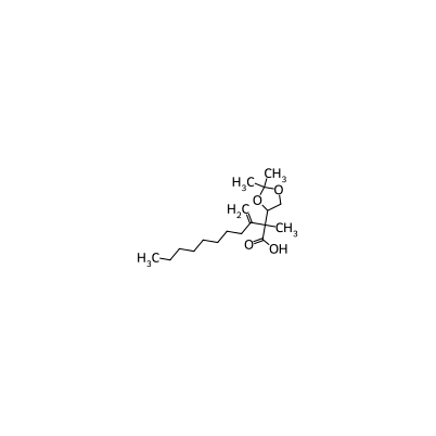 C=C(CCCCCCCC)C(C)(C(=O)O)C1COC(C)(C)O1